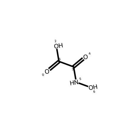 O=C(O)C(=O)NO